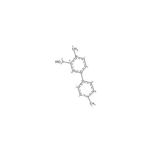 Cc1ccc(-c2ccc(C)c(S(=O)(=O)O)c2)cc1